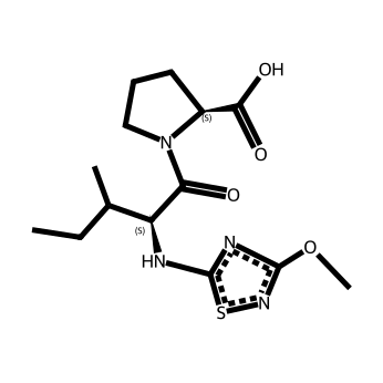 CCC(C)[C@H](Nc1nc(OC)ns1)C(=O)N1CCC[C@H]1C(=O)O